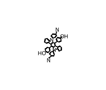 N#Cc1ccc(-n2c3ccccc3c3c(-c4ccc(O)cc4)c4c(c(-c5ccc(O)cc5)c32)c2ccccc2n4-c2ccc(C#N)cc2)cc1